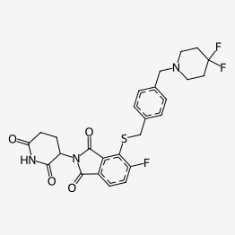 O=C1CCC(N2C(=O)c3ccc(F)c(SCc4ccc(CN5CCC(F)(F)CC5)cc4)c3C2=O)C(=O)N1